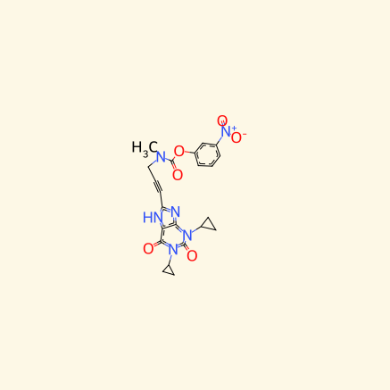 CN(CC#Cc1nc2c([nH]1)c(=O)n(C1CC1)c(=O)n2C1CC1)C(=O)Oc1cccc([N+](=O)[O-])c1